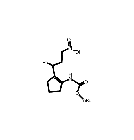 CCCCOC(=O)NC1=C(C(CC)CC[PH](=O)O)CCC1